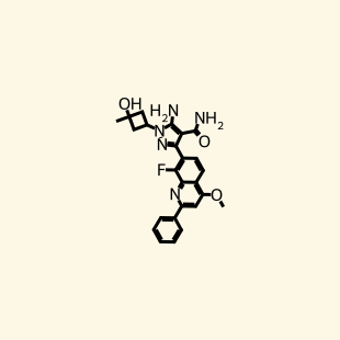 COc1cc(-c2ccccc2)nc2c(F)c(-c3nn(C4CC(C)(O)C4)c(N)c3C(N)=O)ccc12